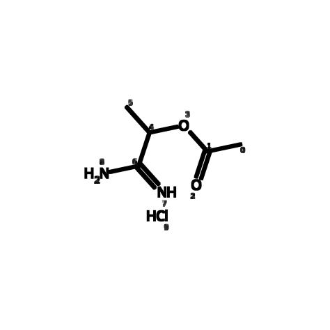 CC(=O)OC(C)C(=N)N.Cl